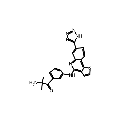 CC(C)(N)C(=O)c1cccc(Nc2nc3cc(-c4nnn[nH]4)ccc3c3sccc23)c1